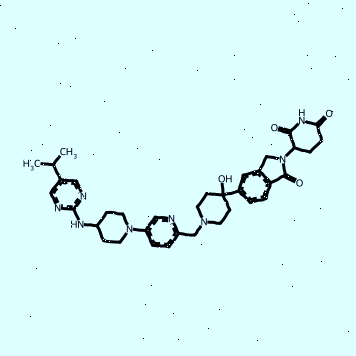 CC(C)c1cnc(NC2CCN(c3ccc(CN4CCC(O)(c5ccc6c(c5)CN(C5CCC(=O)NC5=O)C6=O)CC4)nc3)CC2)nc1